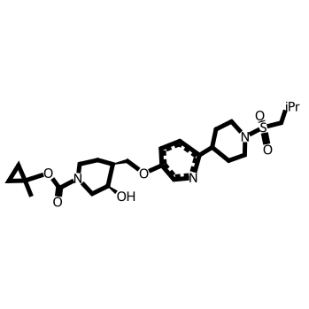 CC(C)CS(=O)(=O)N1CCC(c2ccc(OC[C@@H]3CCN(C(=O)OC4(C)CC4)C[C@@H]3O)cn2)CC1